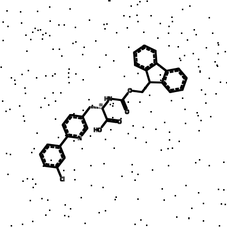 O=C(N[C@@H](Cc1ccc(-c2cccc(Cl)c2)nc1)C(=O)O)OCC1c2ccccc2-c2ccccc21